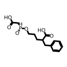 O=C(O)C[PH](=O)OCCCC(Cc1ccccc1)C(=O)O